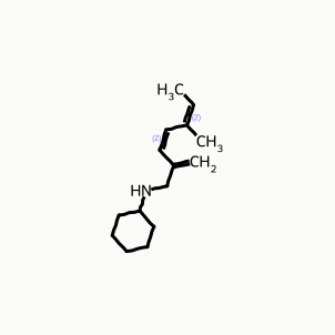 C=C(/C=C\C(C)=C/C)CNC1CCCCC1